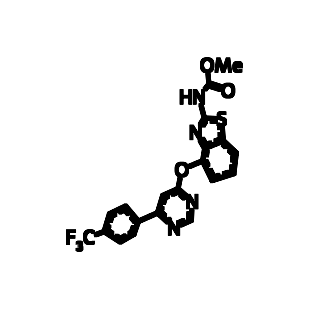 COC(=O)Nc1nc2c(Oc3cc(-c4ccc(C(F)(F)F)cc4)ncn3)cccc2s1